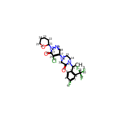 CC(c1ccc(F)cc1C(F)(F)F)N1CCN(c2cnn(C3CCCCO3)c(=O)c2Cl)CC1=O